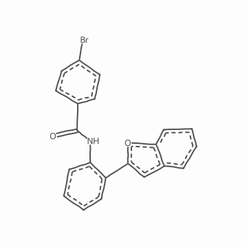 O=C(Nc1ccccc1-c1cc2ccccc2o1)c1ccc(Br)cc1